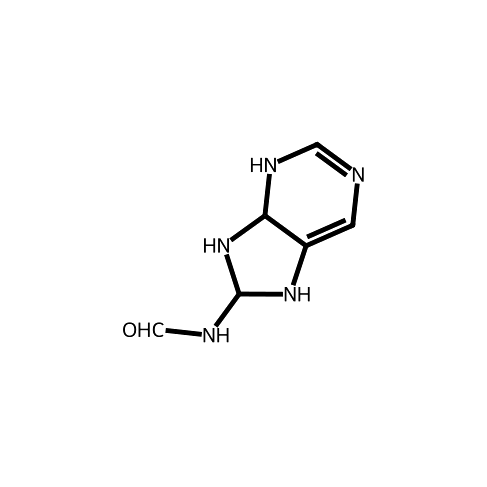 O=CNC1NC2=CN=CNC2N1